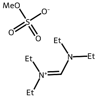 CCN(C=[N+](CC)CC)CC.COS(=O)(=O)[O-]